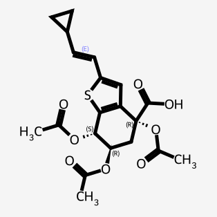 CC(=O)O[C@@H]1c2sc(/C=C/C3CC3)cc2[C@@](OC(C)=O)(C(=O)O)C[C@H]1OC(C)=O